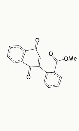 COC(=O)c1ccccc1C1=CC(=O)c2ccccc2C1=O